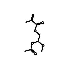 C=C(C)C(=O)OCC(OC)OC(C)=O